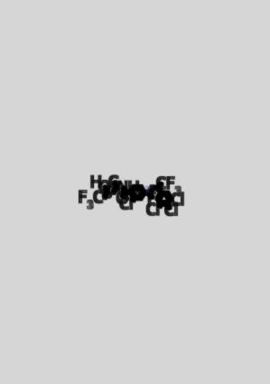 CC(C[S+]([O-])CC(F)(F)F)NC(=O)c1ccc(/C(F)=C/C(c2cc(Cl)c(Cl)c(Cl)c2)C(F)(F)F)cc1Cl